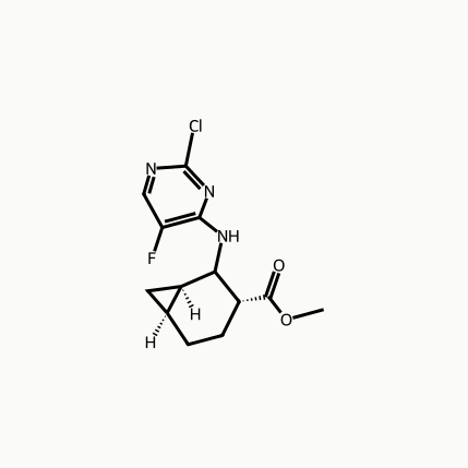 COC(=O)[C@@H]1CC[C@H]2C[C@H]2C1Nc1nc(Cl)ncc1F